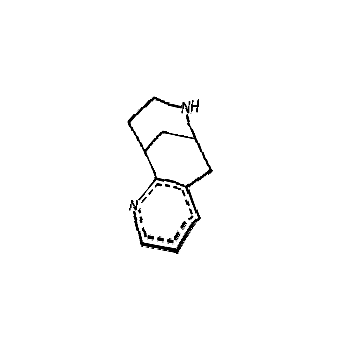 c1cnc2c(c1)CC1CC2CCN1